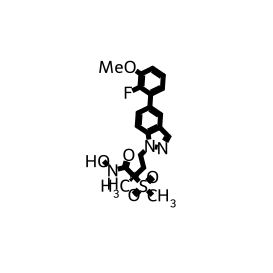 COc1cccc(-c2ccc3c(cnn3CC[C@@](C)(C(=O)NO)S(C)(=O)=O)c2)c1F